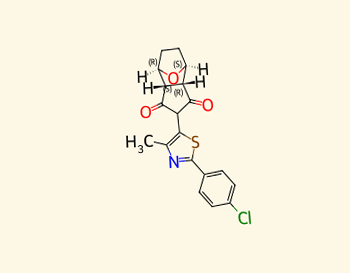 Cc1nc(-c2ccc(Cl)cc2)sc1C1C(=O)[C@@H]2[C@H](C1=O)[C@H]1CC[C@@H]2O1